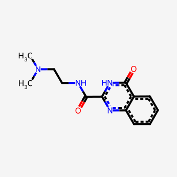 CN(C)CCNC(=O)c1nc2ccccc2c(=O)[nH]1